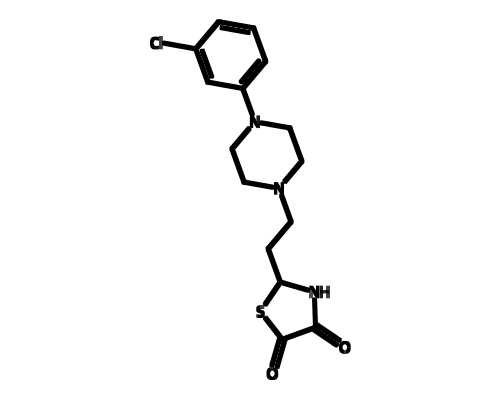 O=C1NC(CCN2CCN(c3cccc(Cl)c3)CC2)SC1=O